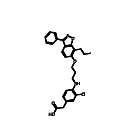 CCCc1c(OCCCNc2ccc(CC(=O)O)cc2Cl)ccc2c(-c3ccccc3)noc12